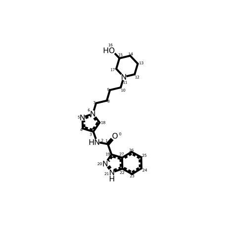 O=C(Nc1cnn(CCCCN2CCCC(O)C2)c1)c1n[nH]c2ccccc12